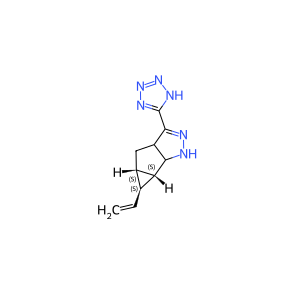 C=C[C@H]1[C@@H]2CC3C(c4nnn[nH]4)=NNC3[C@H]12